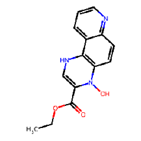 CCOC(=O)C1=CNc2c(ccc3ncccc23)N1O